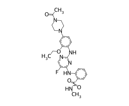 CCOc1cc(N2CCN(C(C)=O)CC2)ccc1Nc1ncc(F)c(Nc2ccccc2S(=O)(=O)NC)n1